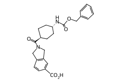 O=C(N[C@H]1CC[C@H](C(=O)N2Cc3ccc(C(=O)O)cc3C2)CC1)OCc1ccccc1